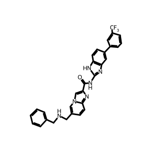 O=C(Nc1nc2cc(-c3cccc(C(F)(F)F)c3)ccc2[nH]1)c1cn2cc(CNCc3ccccc3)ccc2n1